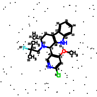 COc1cc(Cl)ncc1[C@@H]1c2[nH]c3ccccc3c2C[C@@H](C)N1CC(C)(C)F